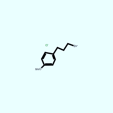 COc1ccc(CC[CH2][Zn+])cc1.[Cl-]